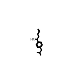 C=CCCC(O)c1ccc(CC(C)C)cc1